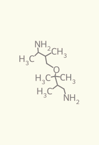 CC(N)C(C)COC(C)(C)C(C)CN